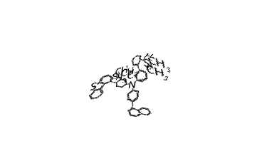 Cc1c(-c2ccccc2[SiH](C)C)cccc1N(c1ccc(-c2cccc3ccccc23)cc1)c1ccc2c(c1)[Si](C)(C)c1ccc3sc4ccccc4c3c1-2